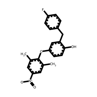 Cc1cc([N+](=O)[O-])cc(C)c1Oc1ccc(O)c(Cc2ccc(F)cc2)c1